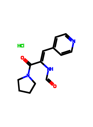 Cl.O=CN/C(=C\c1ccncc1)C(=O)N1CCCC1